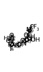 CC(C)(O)c1cc2nc(C3CCN(Cc4cc(N5CCC(=O)NC5=O)ncc4F)CC3)oc2cc1NC(=O)c1ccc(C(F)(F)F)nc1